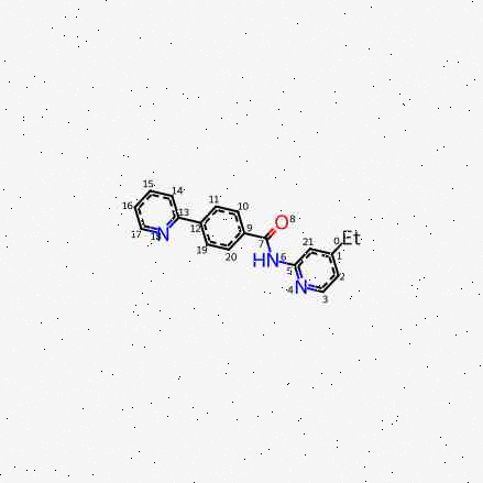 CCc1ccnc(NC(=O)c2ccc(-c3ccccn3)cc2)c1